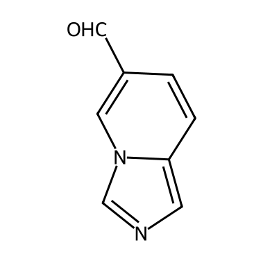 O=Cc1ccc2cncn2c1